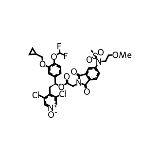 COCCN(c1ccc2c(c1)C(=O)N(CC(=O)O[C@@H](Cc1c(Cl)c[n+]([O-])cc1Cl)c1ccc(OC(F)F)c(OCC3CC3)c1)C2=O)S(C)(=O)=O